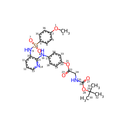 COc1ccc(S(=O)(=O)Nc2cccnc2Nc2ccc(OC(=O)CNC(=O)OC(C)(C)C)cc2)cc1